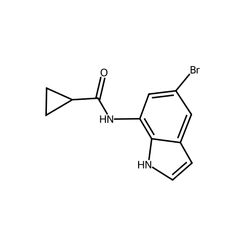 O=C(Nc1cc(Br)cc2cc[nH]c12)C1CC1